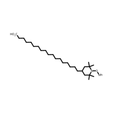 CCCON1C(C)(C)CC(CCCCCCCCCCCCCCCCCC(=O)O)CC1(C)C